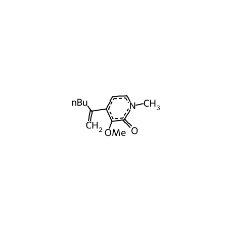 C=C(CCCC)c1ccn(C)c(=O)c1OC